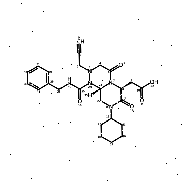 C#CCN1CC(=O)N2[C@@H](CC(=O)O)C(=O)N(C3CCCCC3)C[C@@H]2N1C(=O)NCc1ccccc1